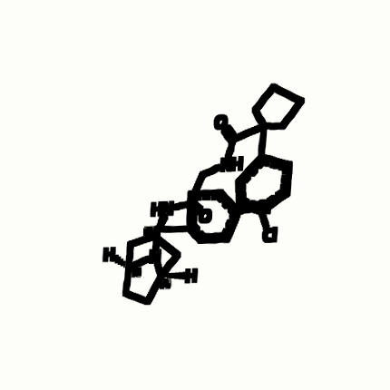 O=C(CNC(=O)C1(c2ccc(Cl)cc2)CCCC1)N[C@H]1C[C@H]2CC[C@@H](C1)N2Cc1ccc(Cl)cc1